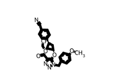 CCOC(=O)c1nnn(Cc2ccc(OC)cc2)c1O[C@H]1C[C@H](c2ccc(C#N)cc2)C1